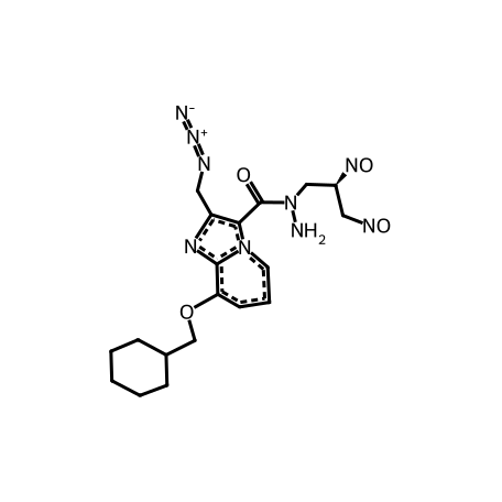 [N-]=[N+]=NCc1nc2c(OCC3CCCCC3)cccn2c1C(=O)N(N)C[C@H](CN=O)N=O